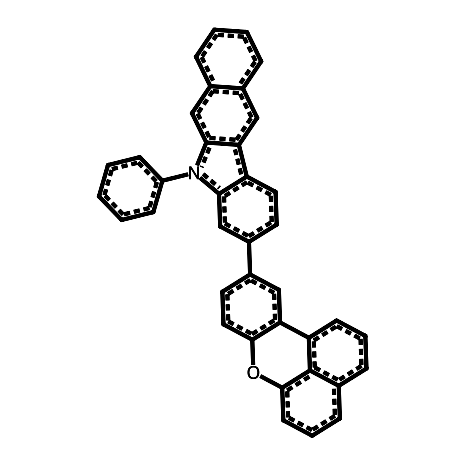 c1ccc(-n2c3cc(-c4ccc5c(c4)-c4cccc6cccc(c46)O5)ccc3c3cc4ccccc4cc32)cc1